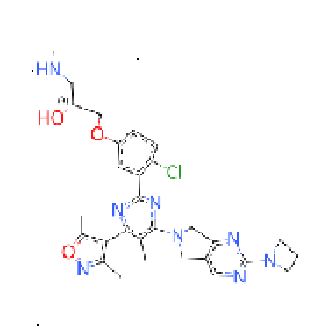 CNC[C@@H](O)COc1ccc(Cl)c(-c2nc(-c3c(C)noc3C)c(C)c(N3Cc4cnc(N5CCC5)nc4C3)n2)c1